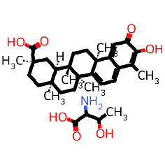 CC(O)C(N)C(=O)O.CC1=C(O)C(=O)C=C2C1=CC=C1[C@@]2(C)CC[C@@]2(C)[C@@H]3C[C@](C)(C(=O)O)CC[C@]3(C)CC[C@]12C